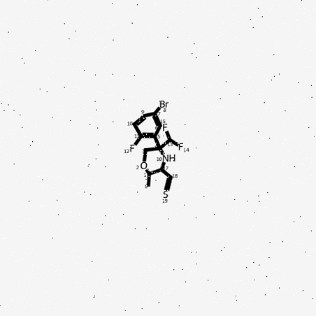 CC1OCC(c2cc(Br)ccc2F)(C(F)F)NC1C=S